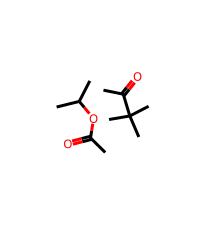 CC(=O)C(C)(C)C.CC(=O)OC(C)C